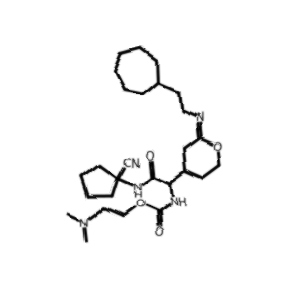 CN(C)CCOC(=O)NC(C(=O)NC1(C#N)CCCC1)C1CCOC(=NCCC2CCCCCC2)C1